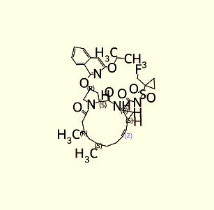 CC(C)Oc1cc2ccccc2c(O[C@@H]2C[C@H]3C(=O)N[C@]4(C(=O)NS(=O)(=O)C5(CF)CC5)C[C@H]4/C=C\CC[C@H](C)C[C@@H](C)CC(=O)N3C2)n1